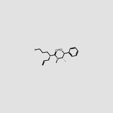 C=CC[C@@H](CCCI)C(=O)N(C)[C@@H](C)[C@@H](O)c1ccccc1